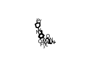 COc1cc2nn([C@H]3CC[C@H](C(C)C)CC3)cc2cc1NC(=O)c1nn(C)cc1C(F)(F)F